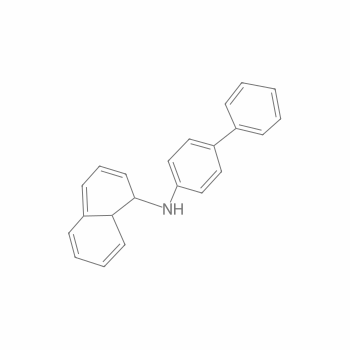 C1=CC2=CC=CC(Nc3ccc(-c4ccccc4)cc3)C2C=C1